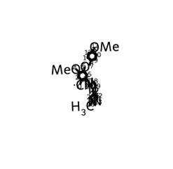 [CH2]c1cc(OC)c(OCc2ccc(OC)cc2)cc1N1C=CN(c2cnn(C)c2)C1